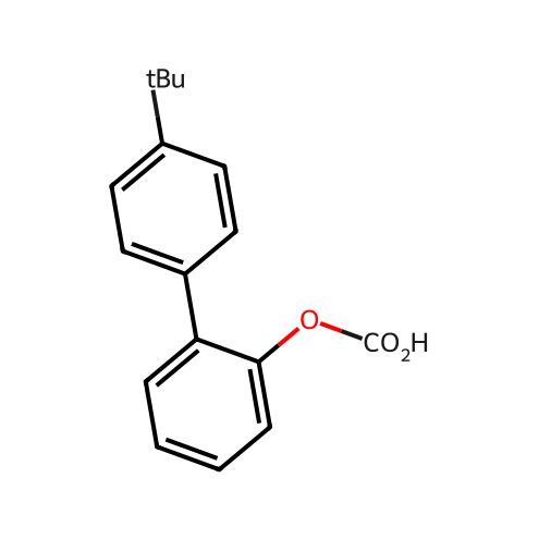 CC(C)(C)c1ccc(-c2ccccc2OC(=O)O)cc1